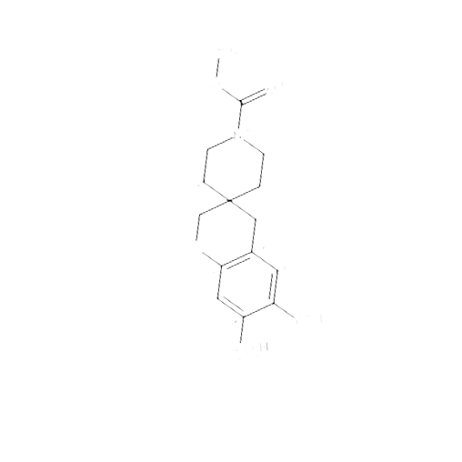 CC(C)(C)OC(=O)N1CCC2(CC1)COc1cc(C(=O)O)c(C(=O)O)cc1C2